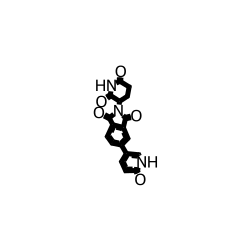 O=C1CCC(N2C(=O)c3ccc(-c4ccc(=O)[nH]c4)cc3C2=O)C(=O)N1